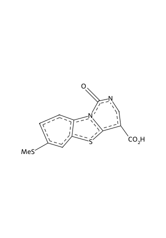 CSc1ccc2c(c1)sc1c(C(=O)O)cnc(=O)n12